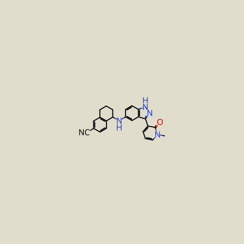 Cn1cccc(-c2n[nH]c3ccc(NC4CCCc5cc(C#N)ccc54)cc23)c1=O